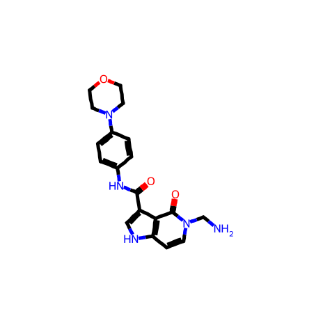 NCn1ccc2[nH]cc(C(=O)Nc3ccc(N4CCOCC4)cc3)c2c1=O